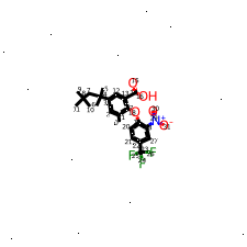 Cc1cc(C(C)(C)CC(C)(C)C)cc(C(=O)O)c1Oc1ccc(C(F)(F)F)cc1[N+](=O)[O-]